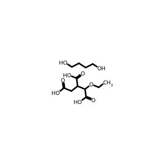 CCOC(C(=O)O)C(CC(=O)O)C(=O)O.OCCCCO